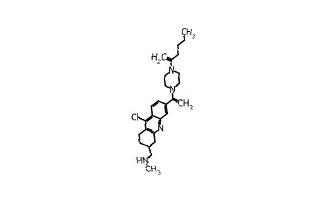 C=C(CCCC)N1CCN(C(=C)c2ccc3c(Cl)c4c(nc3c2)CC(CNC)CC4)CC1